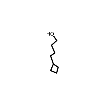 OCCCCC1CCC1